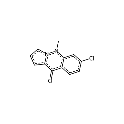 Cn1c2cc(Cl)ccc2c(=O)c2cccn21